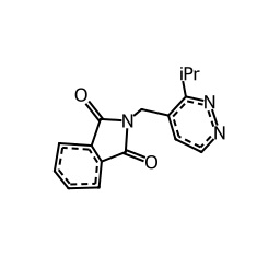 CC(C)c1nnccc1CN1C(=O)c2ccccc2C1=O